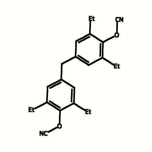 CCc1cc(Cc2cc(CC)c(OC#N)c(CC)c2)cc(CC)c1OC#N